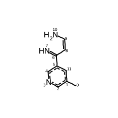 Cc1cncc(C(=N)/C=C\N)c1